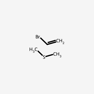 C=CBr.CSC